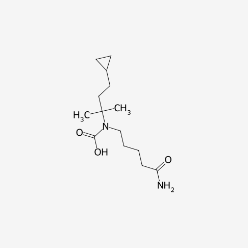 CC(C)(CCC1CC1)N(CCCCC(N)=O)C(=O)O